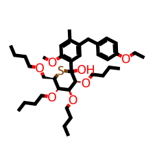 CCCCOC[C@H]1SC(O)(c2cc(Cc3ccc(OCC)cc3)c(C)cc2OC)[C@H](OCCCC)[C@@H](OCCCC)[C@@H]1OCCCC